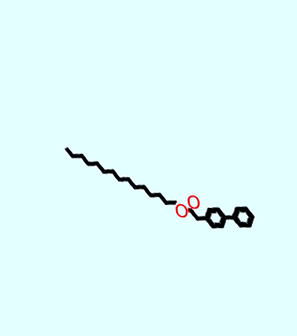 CCCCCCCCCCCCCCCOC(=O)Cc1ccc(-c2ccccc2)cc1